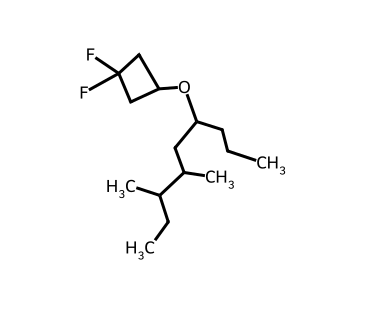 CCCC(CC(C)C(C)CC)OC1CC(F)(F)C1